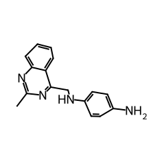 Cc1nc(CNc2ccc(N)cc2)c2ccccc2n1